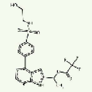 CC(OC(=O)C(F)(F)F)c1cc2c(-c3ccc(S(=O)(=O)NCCO)cc3)ccnc2[nH]1